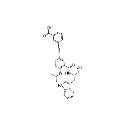 CC(C)Oc1ccc(C#Cc2cncc(C(=O)O)c2)cc1C(=O)NC(CO)Cc1c[nH]c2ccccc12